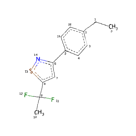 CCc1ccc(-c2cc(C(C)(F)F)sn2)cc1